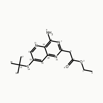 CCOC(=O)Cc1nc(N)c2ncc(SC(C)(C)C)cc2n1